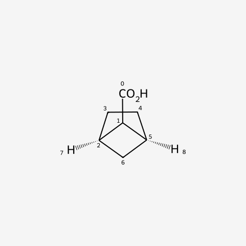 O=C(O)C1[C@@H]2CC[C@H]1C2